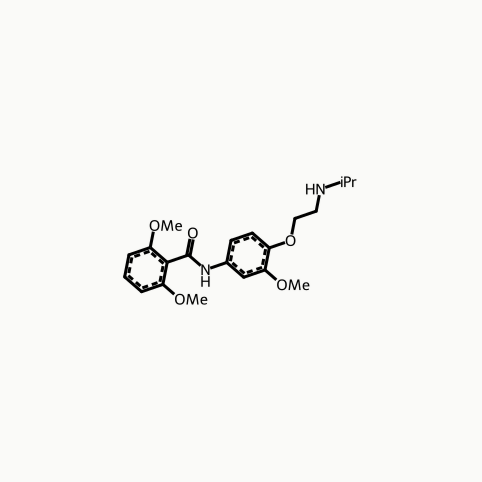 COc1cc(NC(=O)c2c(OC)cccc2OC)ccc1OCCNC(C)C